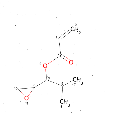 C=CC(=O)OC(C(C)C)C1CO1